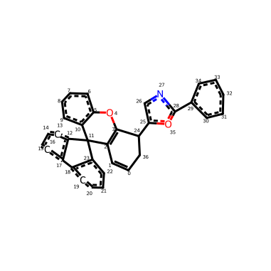 C1=CC2=C(Oc3ccccc3C23c2ccccc2-c2ccccc23)C(c2cnc(-c3ccccc3)o2)C1